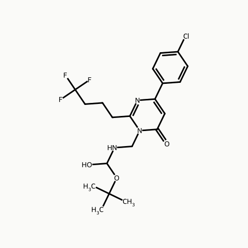 CC(C)(C)OC(O)NCn1c(CCCC(F)(F)F)nc(-c2ccc(Cl)cc2)cc1=O